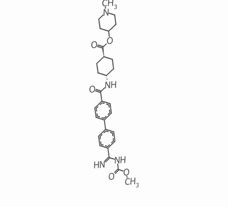 COC(=O)NC(=N)c1ccc(-c2ccc(C(=O)N[C@H]3CC[C@H](C(=O)OC4CCN(C)CC4)CC3)cc2)cc1